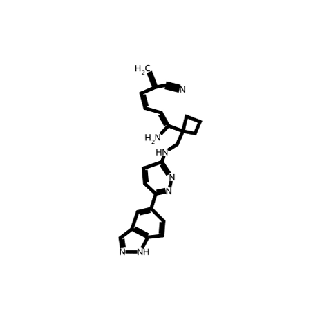 C=C(C#N)/C=C\C=C(/N)C1(CNc2ccc(-c3ccc4[nH]ncc4c3)nn2)CCC1